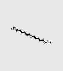 CCCOCCCC=COC=CCCCOCCC